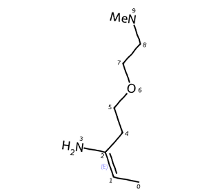 C/C=C(/N)CCOCCNC